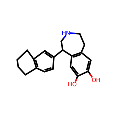 Oc1cc2c(cc1O)C(c1ccc3c(c1)CCCC3)CNCC2